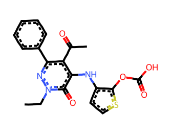 CCn1nc(-c2ccccc2)c(C(C)=O)c(Nc2ccsc2OC(=O)O)c1=O